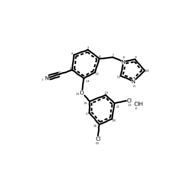 Cl.N#Cc1ccc(Cn2ccnc2)cc1Oc1cc(Cl)cc(Cl)c1